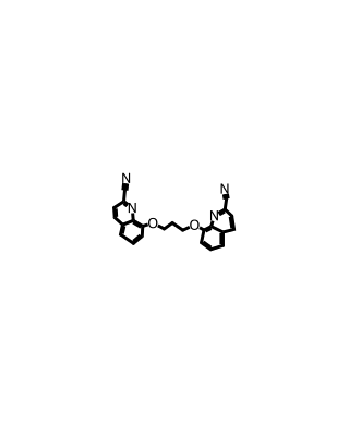 N#Cc1ccc2cccc(OCCCOc3cccc4ccc(C#N)nc34)c2n1